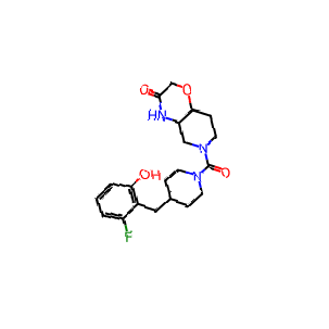 O=C1COC2CCN(C(=O)N3CCC(Cc4c(O)cccc4F)CC3)CC2N1